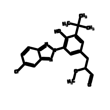 COC(C=O)Cc1cc(-n2nc3ccc(Cl)cc3n2)c(O)c(C(C)(C)C)c1